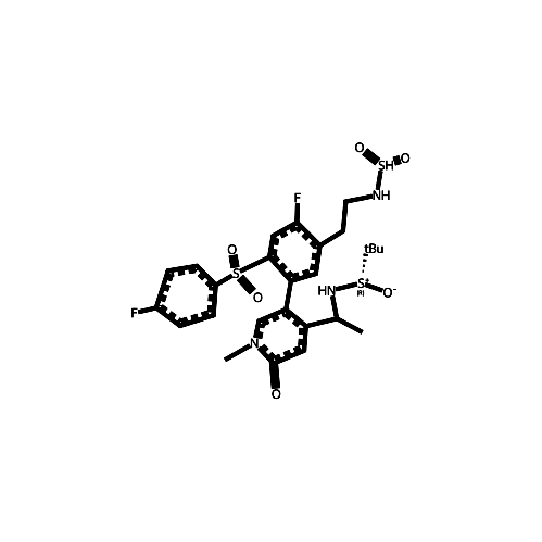 CC(N[S@@+]([O-])C(C)(C)C)c1cc(=O)n(C)cc1-c1cc(CCN[SH](=O)=O)c(F)cc1S(=O)(=O)c1ccc(F)cc1